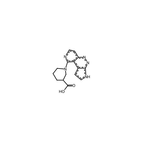 O=C(O)C1CCCN(c2nccc3nnc4[nH]ccc4c23)C1